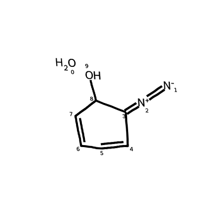 O.[N-]=[N+]=C1C=CC=CC1O